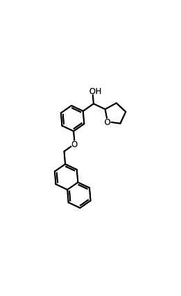 OC(c1cccc(OCc2ccc3ccccc3c2)c1)C1CCCO1